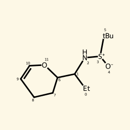 CCC(N[S+]([O-])C(C)(C)C)C1CCC=CO1